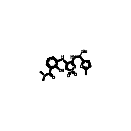 Cc1ccc([C@H](NC2=NS(=O)(=O)C=C2Nc2cccc(C(=O)N(C)C)c2O)C(C)(C)C)o1